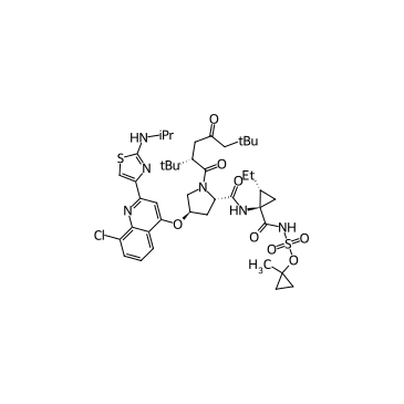 CC[C@@H]1C[C@]1(NC(=O)[C@@H]1C[C@@H](Oc2cc(-c3csc(NC(C)C)n3)nc3c(Cl)cccc23)CN1C(=O)[C@@H](CC(=O)CC(C)(C)C)C(C)(C)C)C(=O)NS(=O)(=O)OC1(C)CC1